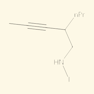 CC#CC(CCC)CNI